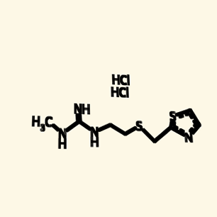 CNC(=N)NCCSCc1nccs1.Cl.Cl